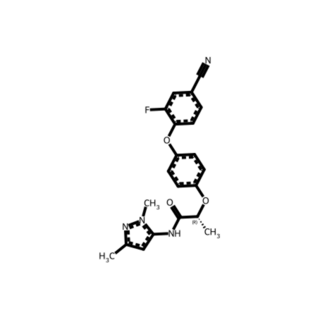 Cc1cc(NC(=O)[C@@H](C)Oc2ccc(Oc3ccc(C#N)cc3F)cc2)n(C)n1